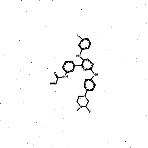 C=CC(=O)Nc1cccc(-c2nc(Nc3ccc(N4CCN(C)C(F)C4)cc3)ncc2Nc2cccc(F)c2)c1